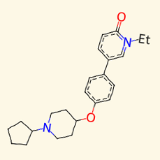 CCn1cc(-c2ccc(OC3CCN(C4CCCC4)CC3)cc2)ccc1=O